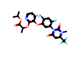 CC(C)OC(=O)C(C)Oc1ncccc1Oc1cc(-n2c(=O)cc(C(F)(F)F)n(C)c2=O)c(F)cc1N